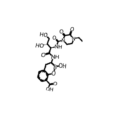 CCN1CCN(C(=O)N[C@@H](C(=O)NC2Cc3cccc(C(=O)O)c3OB2O)[C@H](O)CO)C(=O)C1=O